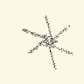 CCCCCCCCCCCCCCCCCCN(CCCCCCCCCCCCCCCCCC)C(C(=O)O)c1cc(C(C(=O)O)N(CCCCCCCCCCCCCCCCCC)CCCCCCCCCCCCCCCCCC)cc(C(C(=O)O)N(CCCCCCCCCCCCCCCCCC)CCCCCCCCCCCCCCCCCC)c1